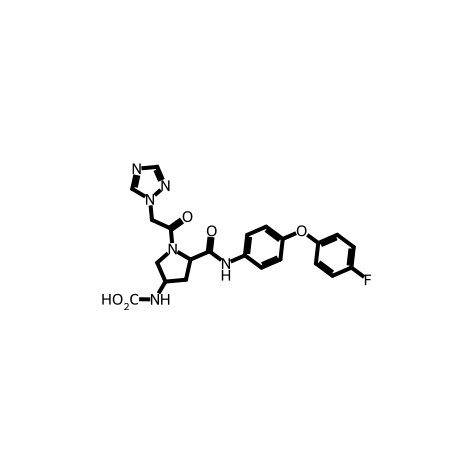 O=C(O)NC1CC(C(=O)Nc2ccc(Oc3ccc(F)cc3)cc2)N(C(=O)Cn2cncn2)C1